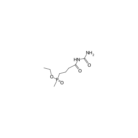 CCOP(C)(=O)CCCC(=O)NC(N)=O